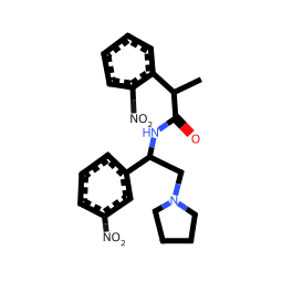 CC(C(=O)NC(CN1CCCC1)c1cccc([N+](=O)[O-])c1)c1ccccc1[N+](=O)[O-]